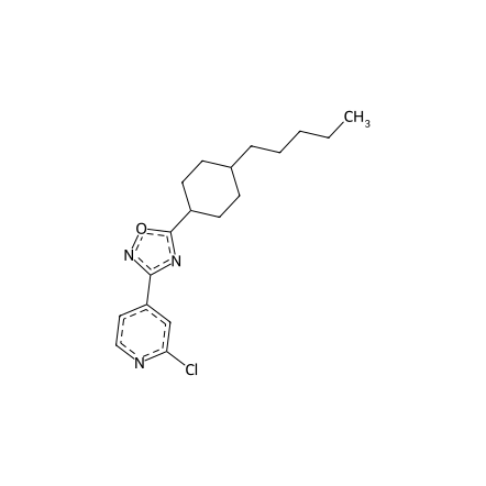 CCCCCC1CCC(c2nc(-c3ccnc(Cl)c3)no2)CC1